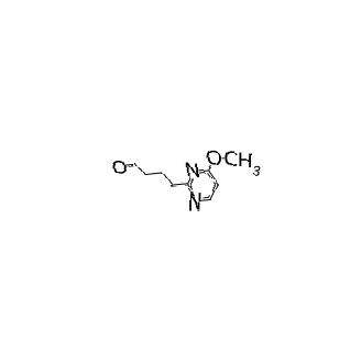 COc1ccnc(CCCC=O)n1